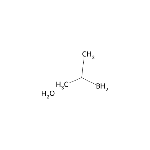 BC(C)C.O